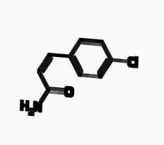 NC(=O)/C=C\c1ccc(Cl)cc1